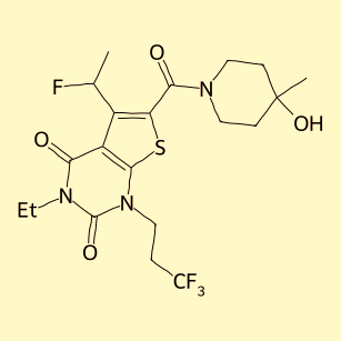 CCn1c(=O)c2c(C(C)F)c(C(=O)N3CCC(C)(O)CC3)sc2n(CCC(F)(F)F)c1=O